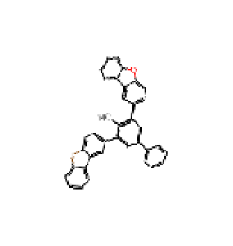 N#Cc1c(-c2ccc3oc4ccccc4c3c2)cc(-c2ccccc2)cc1-c1ccc2sc3ccccc3c2c1